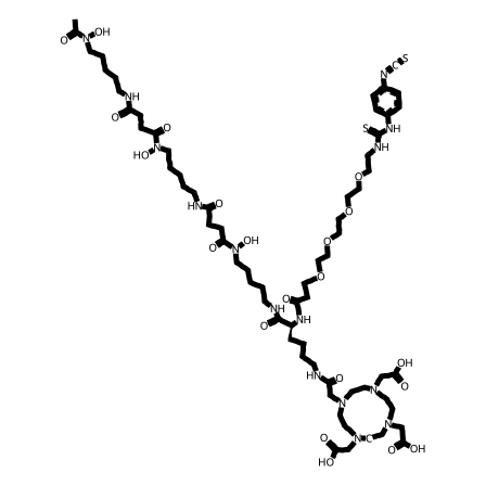 CC(=O)N(O)CCCCCNC(=O)CCC(=O)N(O)CCCCCNC(=O)CCC(=O)N(O)CCCCCNC(=O)[C@H](CCCCNC(=O)CN1CCN(CC(=O)O)CCN(CC(=O)O)CCN(CC(=O)O)CC1)NC(=O)CCOCCOCCOCCOCCNC(=S)Nc1ccc(N=C=S)cc1